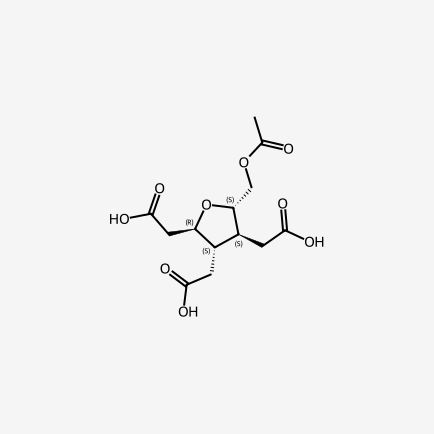 CC(=O)OC[C@H]1O[C@H](CC(=O)O)[C@@H](CC(=O)O)[C@@H]1CC(=O)O